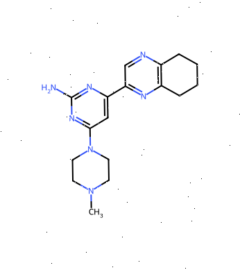 CN1CCN(c2cc(-c3cnc4c(n3)CCCC4)nc(N)n2)CC1